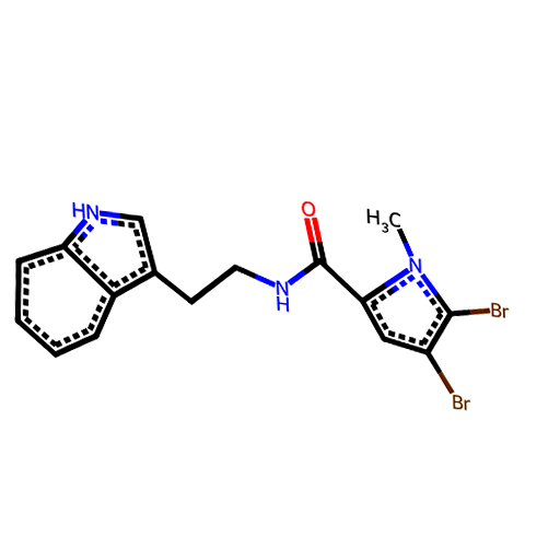 Cn1c(C(=O)NCCc2c[nH]c3ccccc23)cc(Br)c1Br